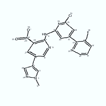 Cn1cc(-c2cnc(Nc3cc(-c4ncccc4F)cc(Cl)n3)c([N+](=O)[O-])c2)cn1